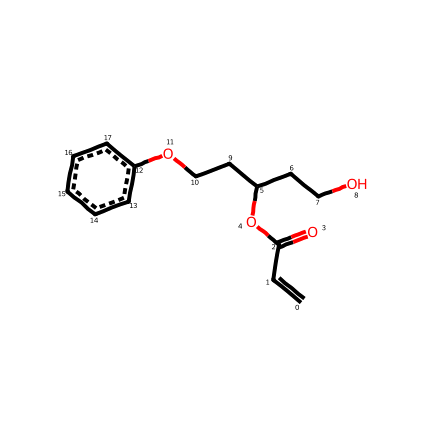 C=CC(=O)OC(CCO)CCOc1ccccc1